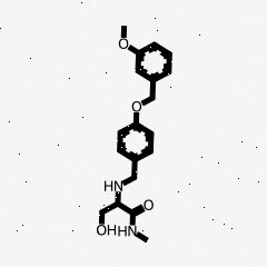 CNC(=O)C(CO)NCc1ccc(OCc2cccc(OC)c2)cc1